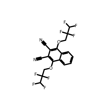 N#Cc1c(C#N)c(OCC(F)(F)C(F)F)c2ccccc2c1OCC(F)(F)C(F)F